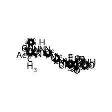 CC(=O)c1c(C)c2cnc(Nc3ccc(N4CCC(N(C)Cc5ccc6c(c5F)C(=O)N(C5CCC(=O)NC5=O)C6=O)CC4)cn3)nc2n(C2CCCC2)c1=O